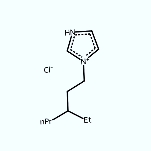 CCCC(CC)CC[n+]1cc[nH]c1.[Cl-]